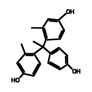 Cc1cc(O)ccc1C(C)(c1ccc(O)cc1)c1ccc(O)cc1C